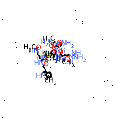 CC[C@H](NC(=O)[C@H](CC(N)=O)NC(=O)[C@@H](NC(=O)[C@@H](CCCNC(=N)N)NC(C)=O)C(C)(C)SSC(C)(C)NC(=O)[C@H](CCCCNC(C)=O)NC(=O)CCc1c[nH]c2c(C)cccc12)C(N)=O